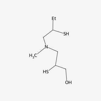 CCC(S)CN(C)CC(S)CO